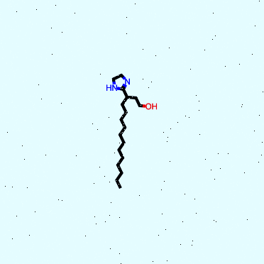 CCCCCCCCCCCCC(CCO)C1=NCCN1